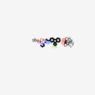 CC(C)(C)OC(=O)N1CCC[C@H]1c1ncc(-c2ccc3c(c2)C2(CC(F)(F)C2)c2cc(B4OC(C)(C)C(C)(C)O4)ccc2-3)[nH]1